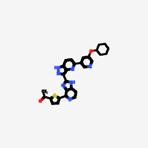 CC(=O)c1ccc(-c2nccc3[nH]c(-c4n[nH]c5ccc(-c6cncc(OC7CCCCC7)c6)nc45)nc23)s1